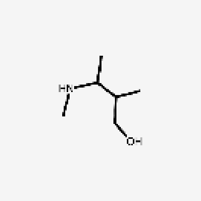 CNC(C)C(C)CO